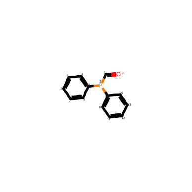 O=CP(c1ccccc1)c1ccccc1